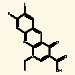 CCn1cc(C(=O)O)c(=O)c2cc3cc(F)c(F)cc3nc21